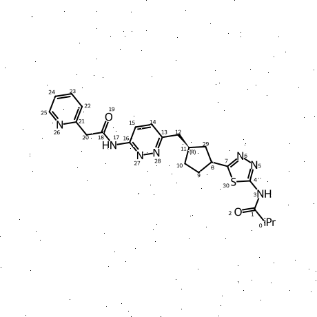 CC(C)C(=O)Nc1nnc(C2CC[C@@H](Cc3ccc(NC(=O)Cc4ccccn4)nn3)C2)s1